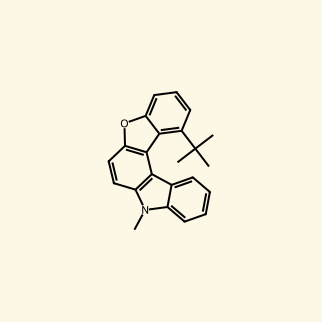 Cn1c2ccccc2c2c3c(ccc21)oc1cccc(C(C)(C)C)c13